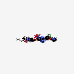 CC(C)(C)OC(=O)N1CC2CC(COc3cc4ncnc(Nc5ccc(OCc6ccccn6)c(Cl)c5)c4cc3[N+](=O)[O-])CC2C1